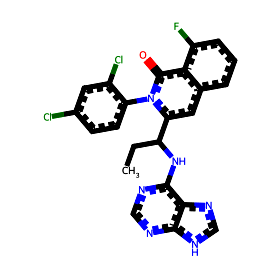 CCC(Nc1ncnc2[nH]cnc12)c1cc2cccc(F)c2c(=O)n1-c1ccc(Cl)cc1Cl